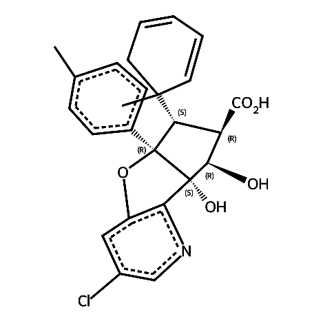 Cc1ccc([C@@]23Oc4cc(Cl)cnc4[C@]2(O)[C@H](O)[C@H](C(=O)O)[C@H]3C2(C)C=CC=CC2)cc1